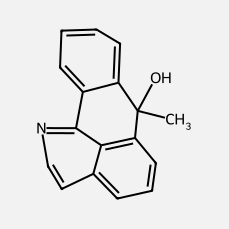 CC1(O)c2ccccc2-c2nccc3cccc1c23